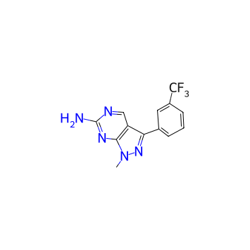 Cn1nc(-c2cccc(C(F)(F)F)c2)c2cnc(N)nc21